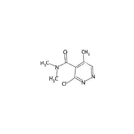 Cc1cnnc(Cl)c1C(=O)N(C)C